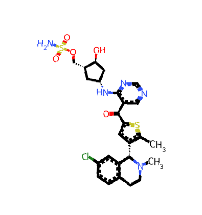 Cc1sc(C(=O)c2cncnc2N[C@@H]2C[C@H](COS(N)(=O)=O)[C@@H](O)C2)cc1[C@H]1c2cc(Cl)ccc2CCN1C